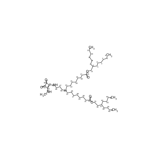 CCCCCCC(CCCCCC)COC(=O)CCCCCCCN(CCCCCCCC(=O)OCCC(CCCC)CCCC)CCCNc1c(NC)c(=O)c1=O